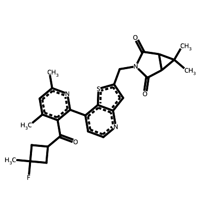 Cc1cc(C)c(C(=O)C2CC(C)(F)C2)c(-c2ccnc3cc(CN4C(=O)C5C(C4=O)C5(C)C)sc23)n1